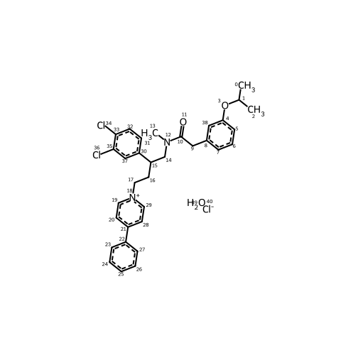 CC(C)Oc1cccc(CC(=O)N(C)CC(CC[n+]2ccc(-c3ccccc3)cc2)c2ccc(Cl)c(Cl)c2)c1.O.[Cl-]